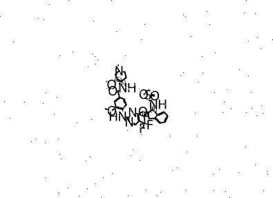 COc1cc(C(=O)N[C@H]2CCN(C)C[C@@H]2OC)ccc1Nc1ncc(C(F)(F)F)c(O[C@@H]2Cc3ccccc3[C@H]2NCS(C)(=O)=O)n1